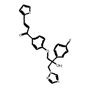 O=C(C=Cc1cccs1)c1ccc(OCC(O)(Cn2cncn2)c2ccc(F)cc2)cc1